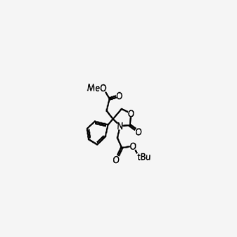 COC(=O)CC1(c2ccccc2)COC(=O)N1CC(=O)OC(C)(C)C